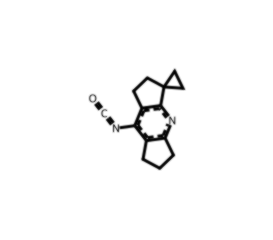 O=C=Nc1c2c(nc3c1CCC31CC1)CCC2